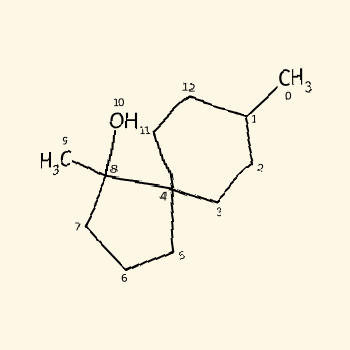 CC1CCC2(CCCC2(C)O)CC1